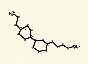 CCCCCC1CCCC(C2CCC(CCC)CC2)C1